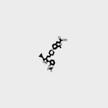 Cc1nc(C(=O)O)cc2ccc(N3CCC(C=Cc4c(-c5ccccc5OC(F)(F)F)noc4C4CC4)CC3)cc12